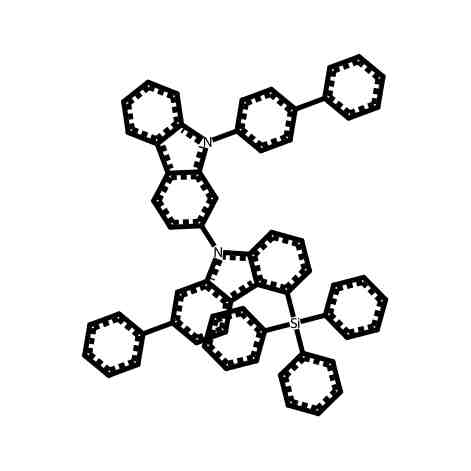 c1ccc(-c2ccc(-n3c4ccccc4c4ccc(-n5c6cc(-c7ccccc7)ccc6c6c([Si](c7ccccc7)(c7ccccc7)c7ccccc7)cccc65)cc43)cc2)cc1